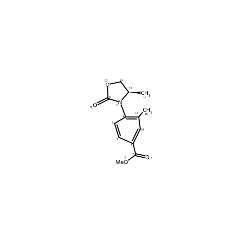 COC(=O)c1ccc(N2C(=O)OC[C@H]2C)c(C)c1